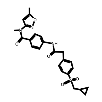 Cc1cc(N(C)C(=O)c2ccc(NC(=O)Cc3ccc(S(=O)(=O)CC4CC4)cc3)cc2)no1